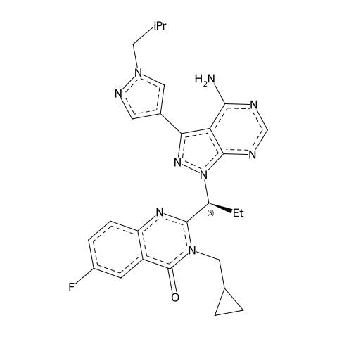 CC[C@@H](c1nc2ccc(F)cc2c(=O)n1CC1CC1)n1nc(-c2cnn(CC(C)C)c2)c2c(N)ncnc21